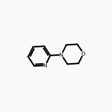 [c]1ccc(N2CCOCC2)nc1